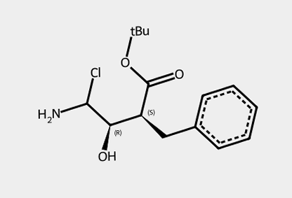 CC(C)(C)OC(=O)[C@@H](Cc1ccccc1)[C@@H](O)C(N)Cl